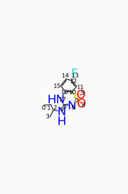 CCC(C)NC1=NS(=O)(=O)c2cc(F)ccc2N1